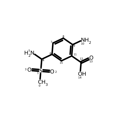 CS(=O)(=O)C(N)c1ccc(N)c(C(=O)O)c1